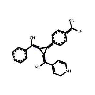 N#CC(C#N)=c1ccc(=C2C(=C(\C#N)c3ccncc3)/C2=C(\C#N)C2=CCNC=C2)cc1